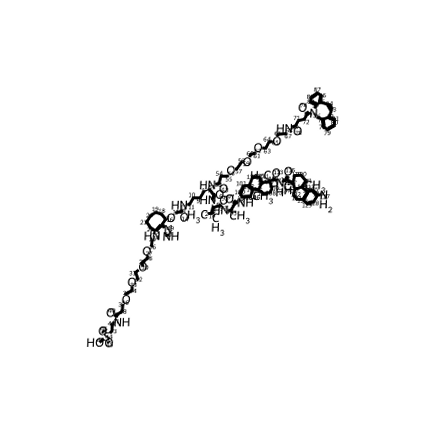 CC(C)[C@H](NC(=O)[C@@H](CCCCNC(=O)COC1CCCCC/C(NCCOCCOCCOCCOCCC(=O)NCCS(=O)(=O)O)=C\1N=N)NC(=O)CCOCCOCCOCCOCCNC(=O)CCC(=O)N1Cc2ccccc2C#Cc2ccccc21)C(=O)N[C@@H](C)C(=O)Nc1ccc2c(c1)[C@@]1(C)CCC[C@](C)(C(=O)NC(=O)[C@@]3(C)CCC[C@]4(C)c5cc(N)ccc5CC[C@@H]34)C1CC2